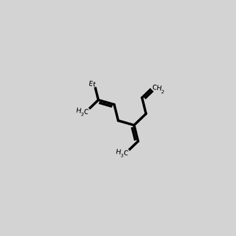 C=CC/C(=C/C)C/C=C(\C)CC